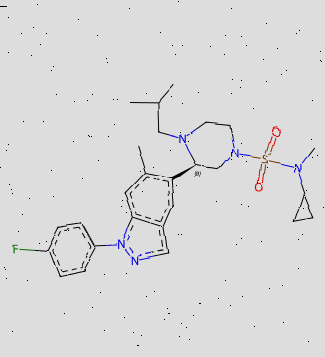 Cc1cc2c(cnn2-c2ccc(F)cc2)cc1[C@@H]1CN(S(=O)(=O)N(C)C2CC2)CCN1CC(C)C